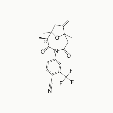 C=C1CC2(C)OC1(C)CC(=O)N(c1ccc(C#N)c(C(F)(F)F)c1)C(=O)[C@H]2C